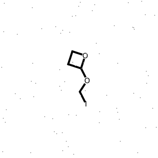 ICOC1CCO1